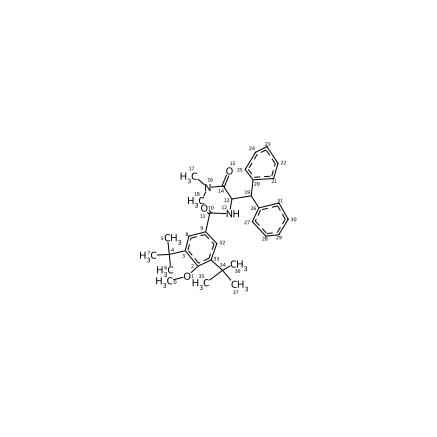 COc1c(C(C)(C)C)cc(C(=O)NC(C(=O)N(C)C)C(c2ccccc2)c2ccccc2)cc1C(C)(C)C